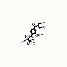 COC(=O)[C@H](CC(C)C)NC(=O)c1ccc(C(=O)N(CC(C)C)CC(C)C)cc1OC(C)C